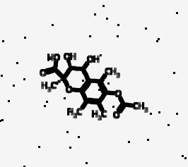 CC(=O)Oc1c(C)c(C)c2c(c1C)C(O)[C@H](O)[C@](C)(C(=O)O)O2